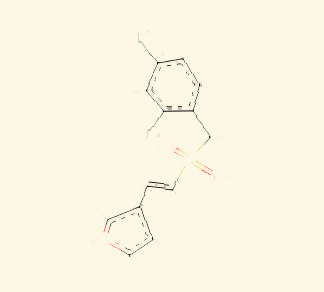 O=S(=O)(C=Cc1ccoc1)Cc1ccc(Cl)cc1Cl